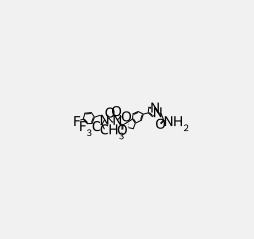 C[C@H](N(Cc1ccc(F)cc1)C(=O)CN1C(=O)O[C@]2(CCc3cc(-c4cnn(CC(N)=O)c4)ccc32)C1=O)C(F)(F)F